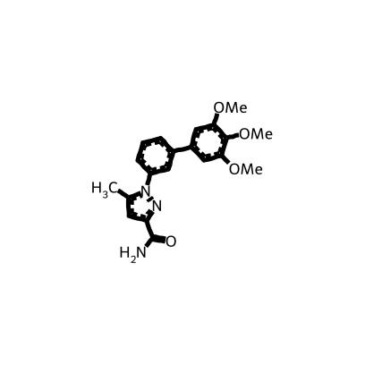 COc1cc(-c2cccc(-n3nc(C(N)=O)cc3C)c2)cc(OC)c1OC